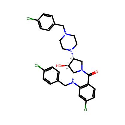 O=C(c1ccc(Cl)cc1NCc1ccc(Cl)cc1)N1C[C@@H](O)[C@H](N2CCN(Cc3ccc(Cl)cc3)CC2)C1